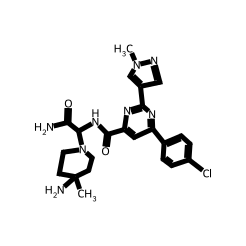 Cn1cc(-c2nc(C(=O)NC(C(N)=O)N3CCC(C)(N)CC3)cc(-c3ccc(Cl)cc3)n2)cn1